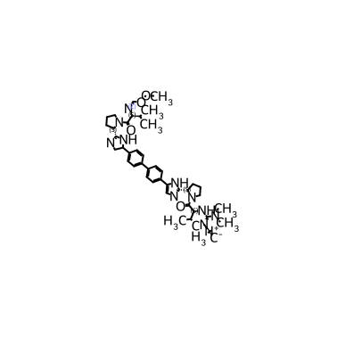 [C-]#[N+]N=C(N[C@H](C(=O)N1CCC[C@H]1c1ncc(-c2ccc(-c3ccc(C4CN=C([C@@H]5CCCN5C(=O)[C@@H](/N=C\OOC)C(C)C)N4)cc3)cc2)[nH]1)C(C)C)N(C)C